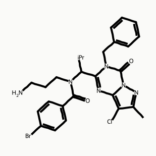 Cc1nn2c(=O)n(Cc3ccccc3)c(C(C(C)C)N(CCCN)C(=O)c3ccc(Br)cc3)nc2c1Cl